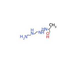 CCC(CO)NCCNCCNCCN